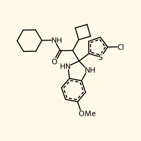 COc1ccc2c(c1)NC(c1ccc(Cl)s1)(C(C(=O)NC1CCCCC1)C1CCC1)N2